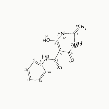 C=C1NC(=O)C(C(=O)Nc2ccccc2)=C(O)N1